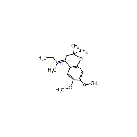 CC/C(C)=C1\CC(C)(C)Oc2cc(OC)c(OC)cc21